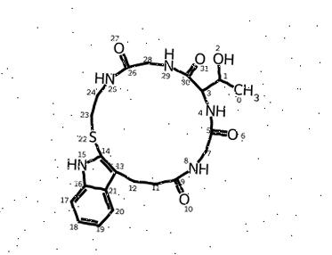 CC(O)C1NC(=O)CNC(=O)CCc2c([nH]c3ccccc23)SCCNC(=O)CNC1=O